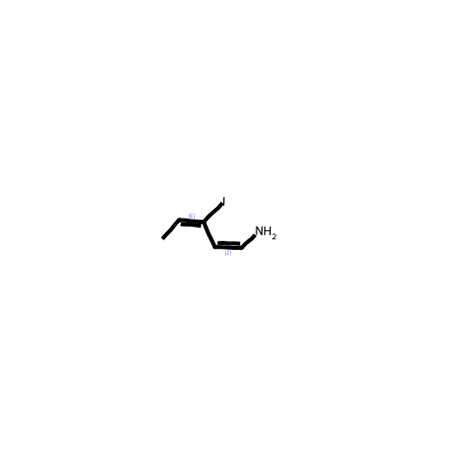 C/C=C(I)\C=C/N